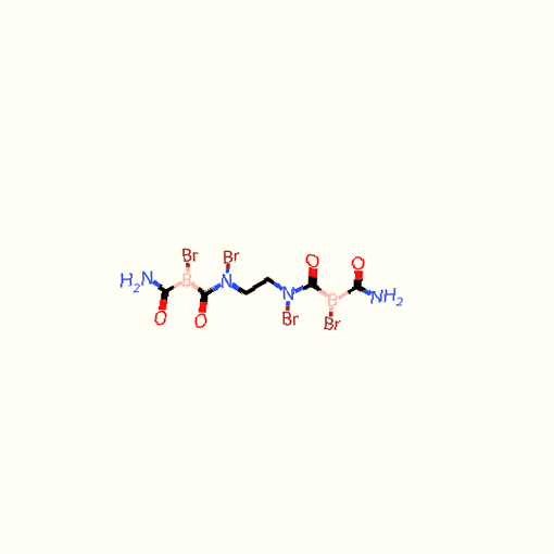 NC(=O)B(Br)C(=O)N(Br)CCN(Br)C(=O)B(Br)C(N)=O